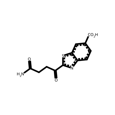 NC(=O)CCC(=O)c1nc2ccc(C(=O)O)cc2s1